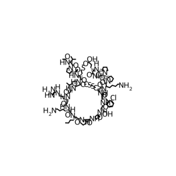 CCCC[C@@H]1NC(=O)[C@H](CCCCN)NC(=O)[C@H](CCCNC(=N)N)NC(=O)[C@H](CC(C)C)NC(=O)C(NC(=O)[C@H](CCSC)NC(=O)[C@@H]2CCCN2C(=O)[C@@H](NC(C)=O)C(C)C)CCSSC[C@@H](C(=O)NC(CCCCN)C(=O)N2CCC[C@H]2C(=O)N2CCC[C@H]2C(=O)N[C@@H](CCC(=O)O)C(N)=O)NC(=O)[C@H](Cc2ccccc2Cl)NC(=O)[C@H](CO)NC(=O)C(C)NC(=O)[C@@H]2CCCN2C1=O